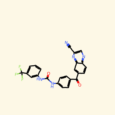 N#Cc1cnc2ccc(C(=O)c3ccc(NC(=O)Nc4cccc(C(F)(F)F)c4)cc3)cc2n1